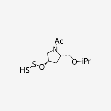 CC(=O)N1C[C@H](OSS)C[C@H]1COC(C)C